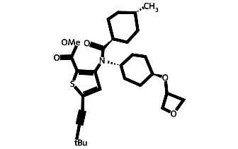 COC(=O)c1sc(C#CC(C)(C)C)cc1N(C(=O)[C@H]1CC[C@H](C)CC1)[C@H]1CC[C@H](OC2COC2)CC1